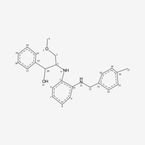 COCC(Nc1ccccc1NCc1ccc(C)cc1)C(O)c1ccccc1